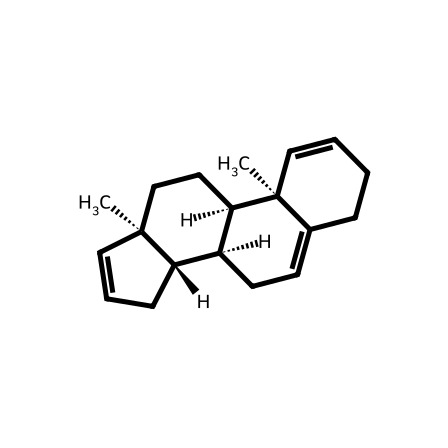 C[C@@]12C=CC[C@H]1[C@@H]1CC=C3CCC=C[C@]3(C)[C@@H]1CC2